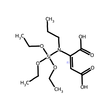 CCCN(/C(=C/C(=O)O)C(=O)O)[Si](OCC)(OCC)OCC